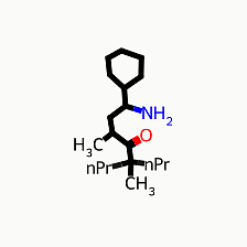 CCCC(C)(CCC)C(=O)C(C)CC(N)C1CCCCC1